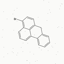 Brc1ccc2c3c(cccc13)-c1ccccc1C2